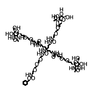 CC(=O)N[C@@H]1[C@@H](O)[C@@H](O)[C@@H](CO)O[C@@H]1CCCOCCOCCNC(=O)NCCCC(CCCNC(=O)NCCOCCOCCC[C@H]1O[C@H](CO)[C@H](O)[C@H](O)[C@H]1NC(C)=O)(CCCNC(=O)NCCOCCOCCC[C@H]1O[C@H](CO)[C@H](O)[C@H](O)[C@H]1NC(C)=O)NC(=O)NCCOCCOCCOCCNC(=O)OCc1ccccc1